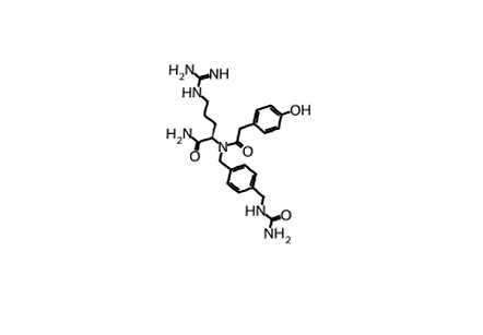 N=C(N)NCCC[C@H](C(N)=O)N(Cc1ccc(CNC(N)=O)cc1)C(=O)Cc1ccc(O)cc1